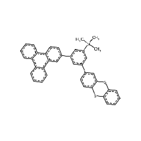 C[Si](C)(C)c1cc(-c2ccc3c(c2)Sc2ccccc2S3)cc(-c2ccc3c4ccccc4c4ccccc4c3c2)c1